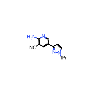 CC(C)n1ccc(-c2cnc(N)c(C#N)c2)n1